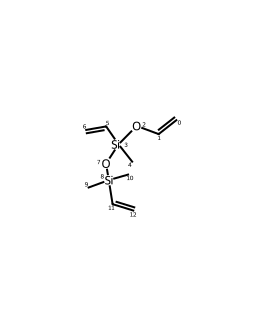 C=CO[Si](C)(C=C)O[Si](C)(C)C=C